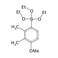 CCO[Si](OCC)(OCC)c1ccc(OC)c(C)c1C